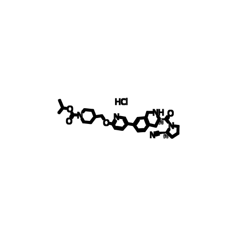 CC(C)OC(=O)N1CCC(COc2ccc(-c3ccc4c(c3)CN[C@H](C(=O)N3CCC[C@H]3C#N)C4)cn2)CC1.Cl